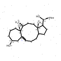 CCCCCC[C@H](O)C1CCC2CC/C=C3/C[C@@H](O)CCC[C@]3(C)C(C)CC[C@@]21C